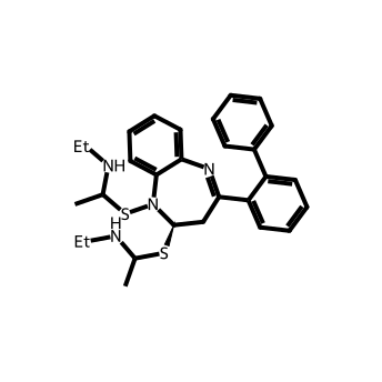 CCNC(C)S[C@@H]1CC(c2ccccc2-c2ccccc2)=Nc2ccccc2N1SC(C)NCC